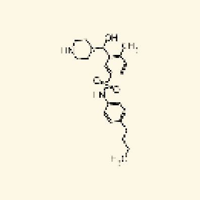 CCCCc1ccc(NS(=O)(=O)c2ccc(C)c(C(O)N3CCNCC3)c2)cc1